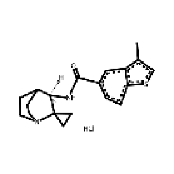 Cc1csc2ccc(C(=O)N[C@@H]3C4CCN(CC4)C34CC4)cc12.Cl